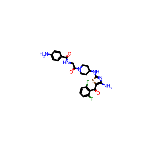 Nc1ccc(C(=O)NCC(=O)N2CCC(Nc3nc(N)c(C(=O)c4c(F)cccc4F)s3)CC2)cc1